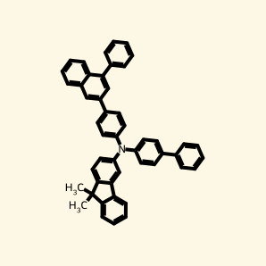 CC1(C)c2ccccc2-c2cc(N(c3ccc(-c4ccccc4)cc3)c3ccc(-c4cc(-c5ccccc5)c5ccccc5c4)cc3)ccc21